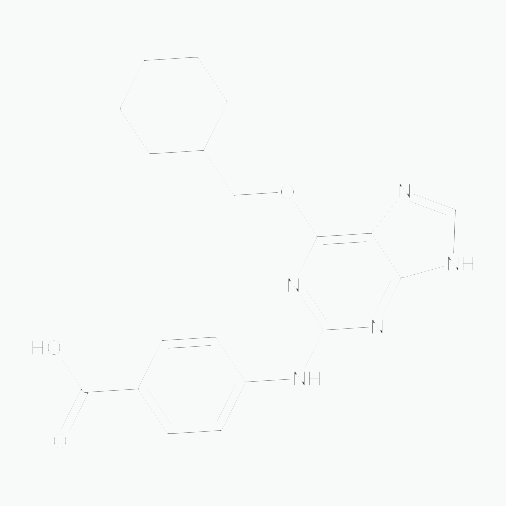 O=C(O)c1ccc(Nc2nc(OCC3CCCCC3)c3nc[nH]c3n2)cc1